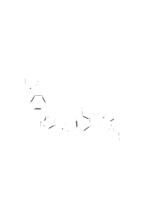 CCOC(=O)C(C)(C)Oc1ccc(SC(C)(C)c2cnc(-c3ccc(C(F)(F)F)cc3)s2)cc1C